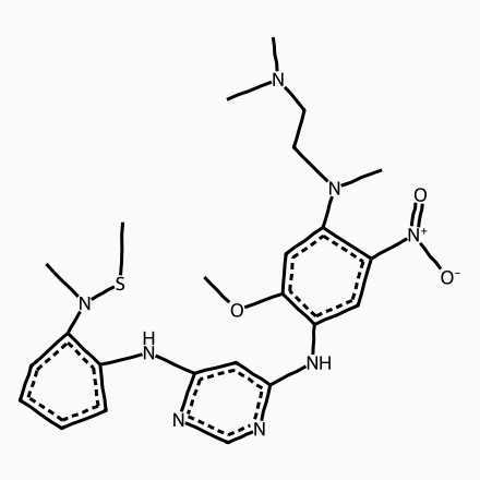 COc1cc(N(C)CCN(C)C)c([N+](=O)[O-])cc1Nc1cc(Nc2ccccc2N(C)SC)ncn1